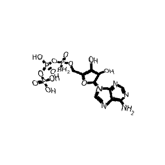 BP(=O)(OCC1OC(n2cnc3c(N)ncnc32)C(O)C1O)OP(=O)(O)OP(=O)(O)O